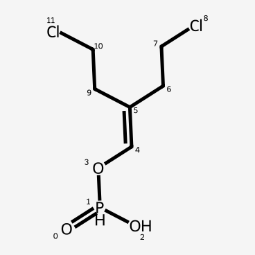 O=[PH](O)OC=C(CCCl)CCCl